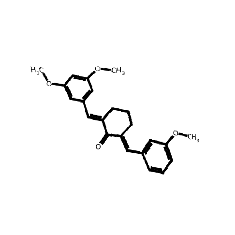 COc1cccc(C=C2CCCC(=Cc3cc(OC)cc(OC)c3)C2=O)c1